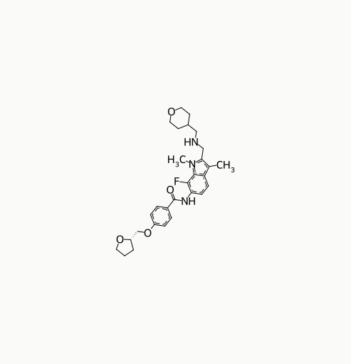 Cc1c(CNCC2CCOCC2)n(C)c2c(F)c(NC(=O)c3ccc(OC[C@@H]4CCCO4)cc3)ccc12